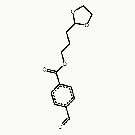 O=Cc1ccc(C(=O)OCCCC2OCCO2)cc1